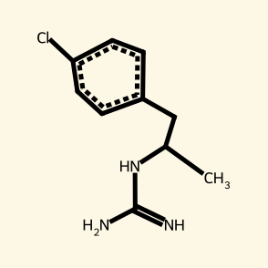 CC(Cc1ccc(Cl)cc1)NC(=N)N